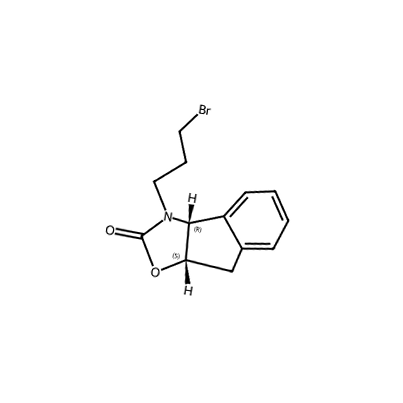 O=C1O[C@H]2Cc3ccccc3[C@H]2N1CCCBr